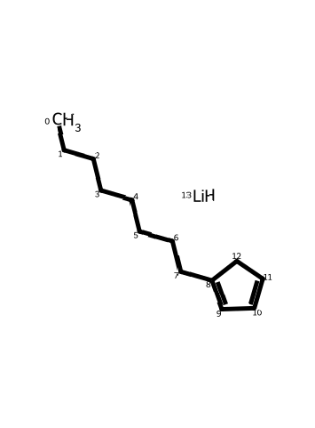 CCCCCCCCC1=CC=CC1.[LiH]